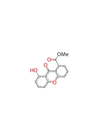 COC(=O)c1cccc2oc3cccc(O)c3c(=O)c12